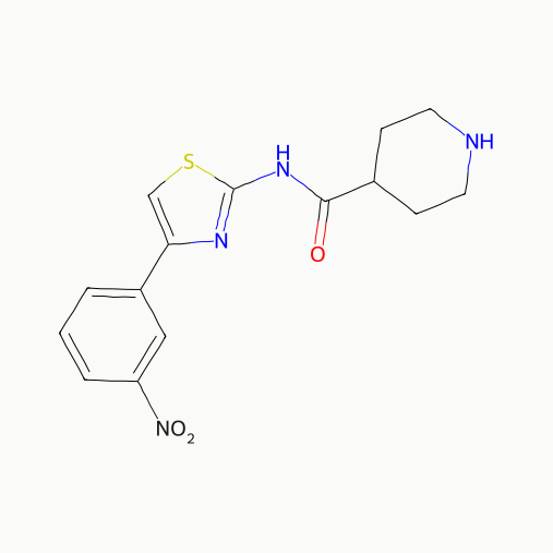 O=C(Nc1nc(-c2cccc([N+](=O)[O-])c2)cs1)C1CCNCC1